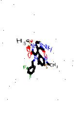 Cc1nc2c(ccc3c2c(-c2ccc[nH]c2=O)c(C(=O)NS(C)(=O)=O)n3Cc2ccc(F)cc2F)s1